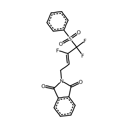 O=C1c2ccccc2C(=O)N1C/C=C(\F)C(F)(F)S(=O)(=O)c1ccccc1